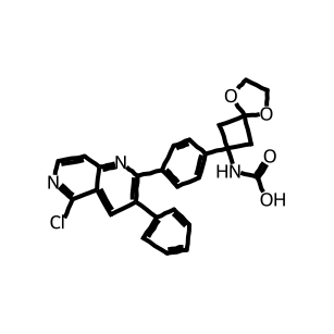 O=C(O)NC1(c2ccc(-c3nc4ccnc(Cl)c4cc3-c3ccccc3)cc2)CC2(C1)OCCO2